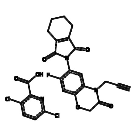 C#CCN1C(=O)COc2cc(F)c(N3C(=O)C4=C(CCCC4)C3=O)cc21.O=C(O)c1nc(Cl)ccc1Cl